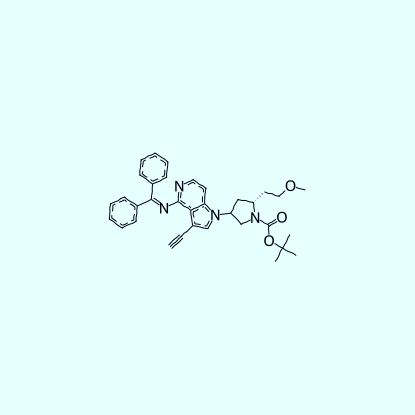 C#Cc1cn(C2C[C@H](CCOC)N(C(=O)OC(C)(C)C)C2)c2ccnc(N=C(c3ccccc3)c3ccccc3)c12